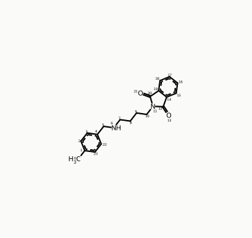 Cc1ccc(CNCCCCN2C(=O)c3ccccc3C2=O)cc1